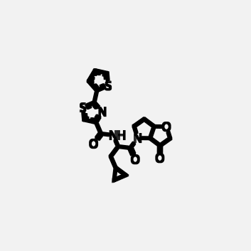 O=C(NC(CC1CC1)C(=O)N1CCC2OCC(=O)C21)c1csc(-c2cccs2)n1